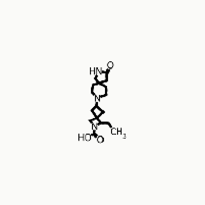 CCC1N(C(=O)O)CC12CC(N1CCC3(CC1)CNC(=O)C3)C2